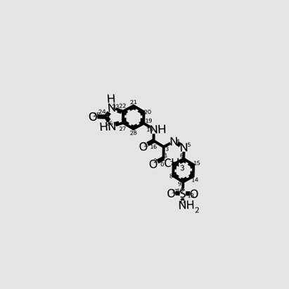 CC(=O)C(/N=N\c1ccc(S(N)(=O)=O)cc1)C(=O)Nc1ccc2[nH]c(=O)[nH]c2c1